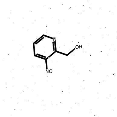 O=Nc1cccnc1CO